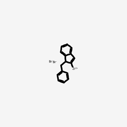 [Br-].[Br-].[Zr+2][C]1=Cc2ccccc2C1Cc1ccccc1